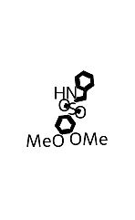 COc1ccc(S(=O)(=O)c2cc3ccccc3[nH]2)cc1OC